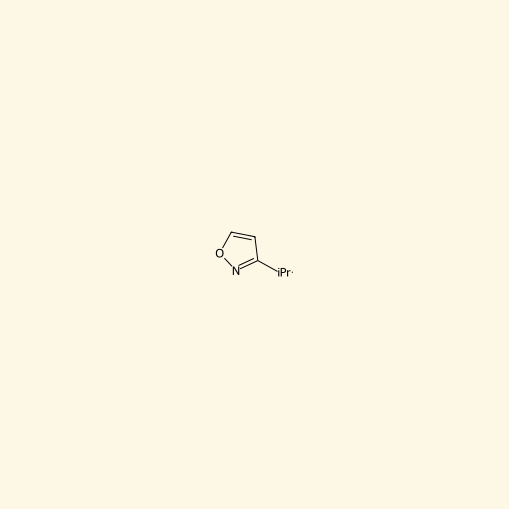 C[C](C)c1ccon1